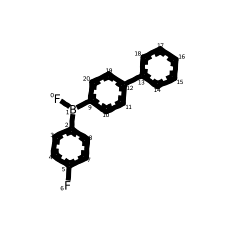 FB(c1ccc(F)cc1)c1ccc(-c2ccccc2)cc1